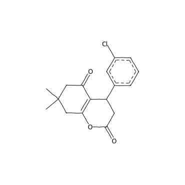 CC1(C)CC(=O)C2=C(C1)OC(=O)CC2c1cccc(Cl)c1